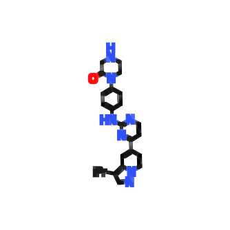 CC(C)c1cnn2ccc(-c3ccnc(Nc4ccc(N5CCNCC5=O)cc4)n3)cc12